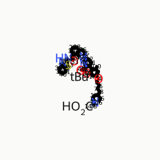 Cc1cc(OCCCCC2CCN(CC(=O)O)CC2)ccc1-c1ccc(N2CCc3cccc(C(=O)Nc4nc5ccccc5s4)c3C2)nc1C(=O)OC(C)(C)C